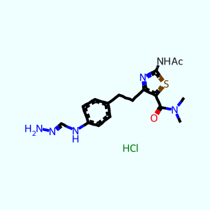 CC(=O)Nc1nc(CCc2ccc(NC=NN)cc2)c(C(=O)N(C)C)s1.Cl